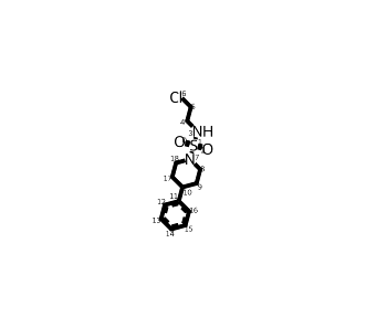 O=S(=O)(NCCCl)N1CCC(c2ccccc2)CC1